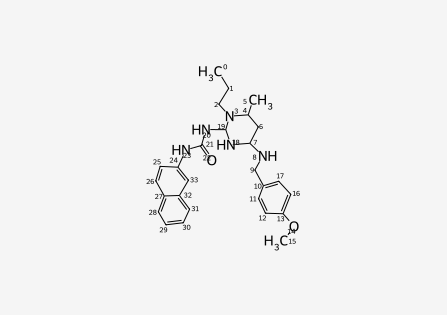 CCCN1C(C)CC(NCc2ccc(OC)cc2)NC1NC(=O)Nc1ccc2ccccc2c1